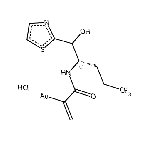 C=[C]([Au])C(=O)N[C@@H](CCC(F)(F)F)C(O)c1nccs1.Cl